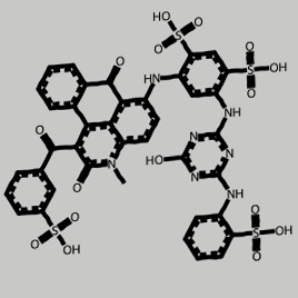 Cn1c(=O)c(C(=O)c2cccc(S(=O)(=O)O)c2)c2c3c(c(Nc4cc(Nc5nc(O)nc(Nc6ccccc6S(=O)(=O)O)n5)c(S(=O)(=O)O)cc4S(=O)(=O)O)ccc31)C(=O)c1ccccc1-2